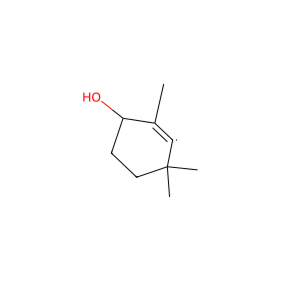 CC1=[C]C(C)(C)CCC1O